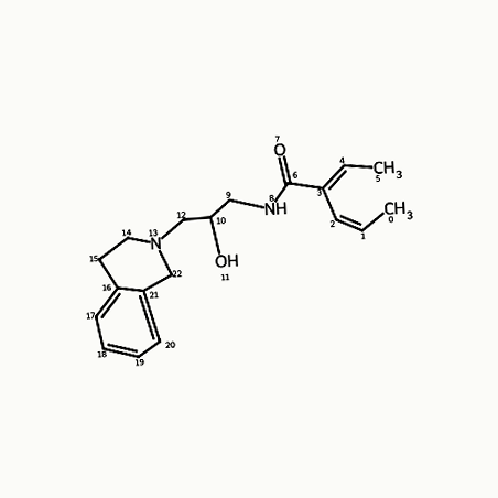 C/C=C\C(=C/C)C(=O)NCC(O)CN1CCc2ccccc2C1